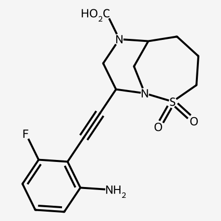 Nc1cccc(F)c1C#CC1CN(C(=O)O)C2CCCS(=O)(=O)N1C2